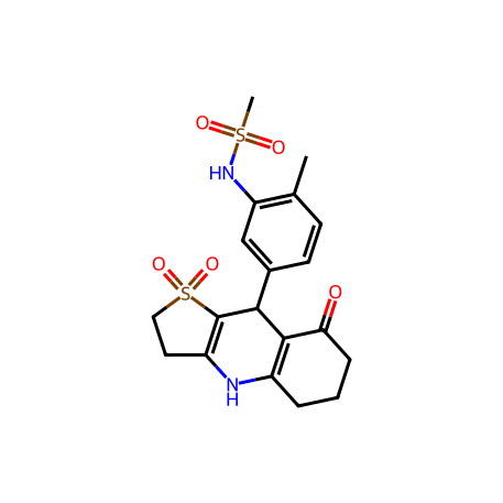 Cc1ccc(C2C3=C(CCCC3=O)NC3=C2S(=O)(=O)CC3)cc1NS(C)(=O)=O